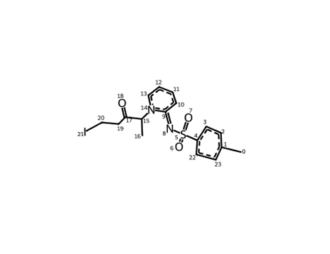 Cc1ccc(S(=O)(=O)N=c2ccccn2C(C)C(=O)CCI)cc1